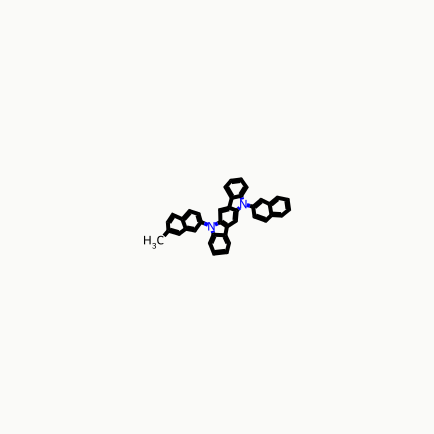 Cc1ccc2ccc(-n3c4ccccc4c4cc5c(cc43)c3ccccc3n5-c3ccc4ccccc4c3)cc2c1